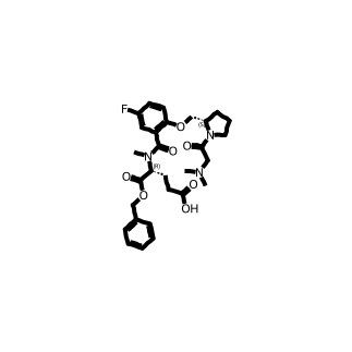 CN(C)CC(=O)N1CCC[C@H]1COc1ccc(F)cc1C(=O)N(C)[C@H](CCC(=O)O)C(=O)OCc1ccccc1